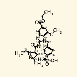 CCOC(=O)c1cc(OC)c2c(c1)nc(NC(=O)c1cc(C)nn1CC)n2Cc1ccc(P(=O)(O)O)cc1